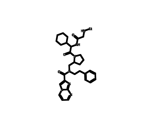 CCNCC(=O)NC(C(=O)N1CCCC1CN(CCc1ccccc1)C(=O)c1cn2cccnc2n1)C1CCCCC1